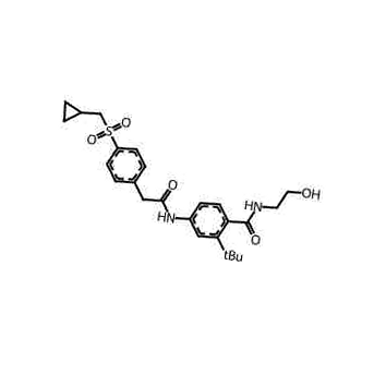 CC(C)(C)c1cc(NC(=O)Cc2ccc(S(=O)(=O)CC3CC3)cc2)ccc1C(=O)NCCO